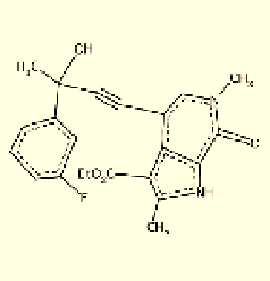 CCOC(=O)c1c(C)[nH]c2c(=O)n(C)cc(C#CC(C)(O)c3cccc(F)c3)c12